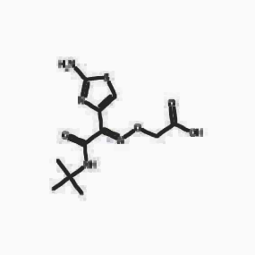 CC(C)(C)NC(=O)/C(=N/OCC(=O)O)c1csc(N)n1